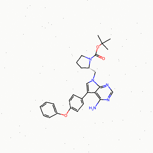 CC(C)(C)OC(=O)N1CCC[C@H]1Cn1cc(-c2ccc(Oc3ccccc3)cc2)c2c(N)ncnc21